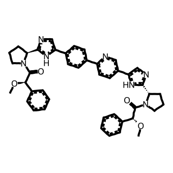 CO[C@@H](C(=O)N1CCC[C@H]1c1ncc(-c2ccc(-c3ccc(-c4cnc([C@@H]5CCCN5C(=O)[C@H](OC)c5ccccc5)[nH]4)cn3)cc2)[nH]1)c1ccccc1